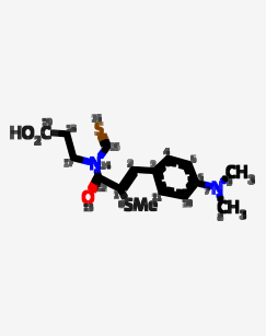 CS/C(=C\c1ccc(N(C)C)cc1)C(=O)N(C=S)CCC(=O)O